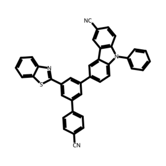 N#Cc1ccc(-c2cc(-c3ccc4c(c3)c3cc(C#N)ccc3n4-c3ccccc3)cc(-c3nc4ccccc4s3)c2)cc1